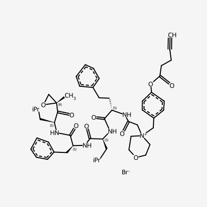 C#CCCC(=O)Oc1ccc(C[N+]2(CC(=O)N[C@@H](CCc3ccccc3)C(=O)N[C@@H](CC(C)C)C(=O)N[C@@H](Cc3ccccc3)C(=O)N[C@@H](CC(C)C)C(=O)[C@@]3(C)CO3)CCOCC2)cc1.[Br-]